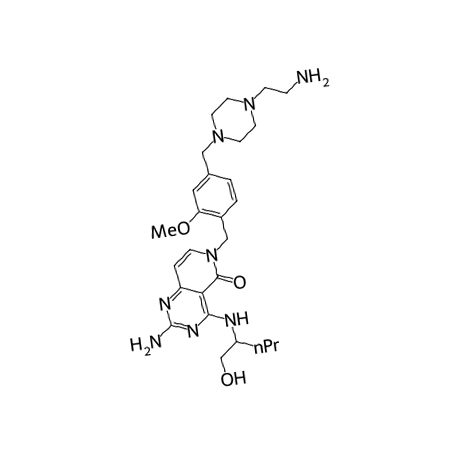 CCCC(CO)Nc1nc(N)nc2ccn(Cc3ccc(CN4CCN(CCN)CC4)cc3OC)c(=O)c12